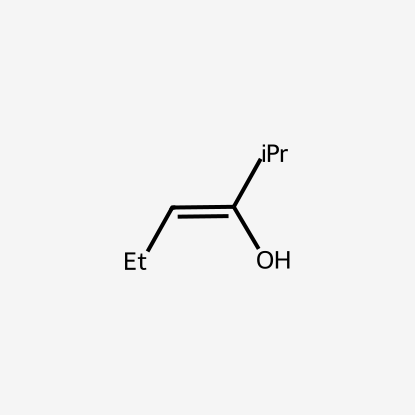 CC/C=C(\O)C(C)C